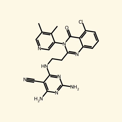 Cc1cncc(-n2c(CCNc3nc(N)nc(N)c3C#N)nc3cccc(Cl)c3c2=O)c1C